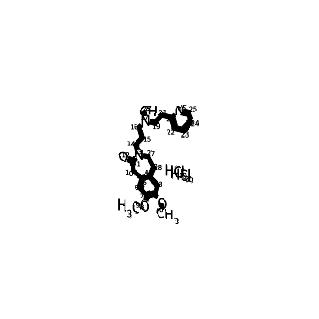 COc1cc2c(cc1OC)CC(=O)N(CCCN(C)CCc1ccccn1)CC2.Cl.Cl